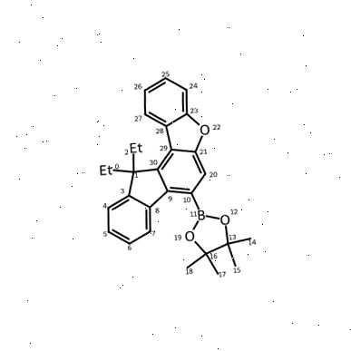 CCC1(CC)c2ccccc2-c2c(B3OC(C)(C)C(C)(C)O3)cc3oc4ccccc4c3c21